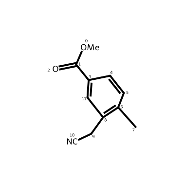 COC(=O)c1ccc(C)c(CC#N)c1